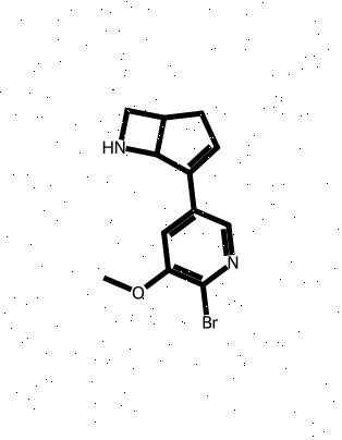 COc1cc(C2=CCC3CNC23)cnc1Br